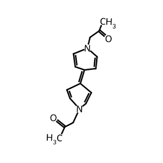 CC(=O)CN1C=CC(=C2C=CN(CC(C)=O)C=C2)C=C1